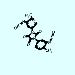 Cc1ccc(N2C(=O)C(=O)N(c3ccc(C)c(N=C=O)c3)C2=O)cc1N=C=O